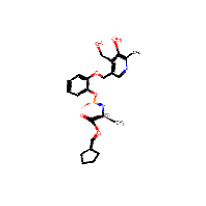 Cc1ncc(COc2ccccc2O[P+]([O-])=N[C@@H](C)C(=O)OCC2CCCC2)c(CO)c1O